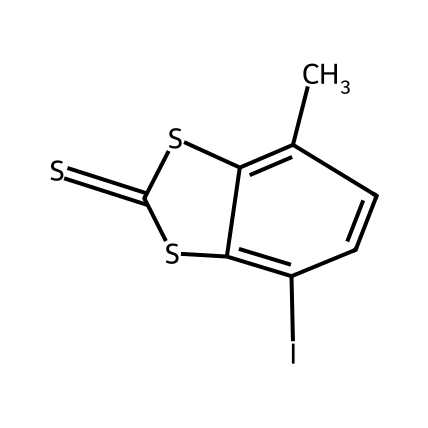 Cc1ccc(I)c2sc(=S)sc12